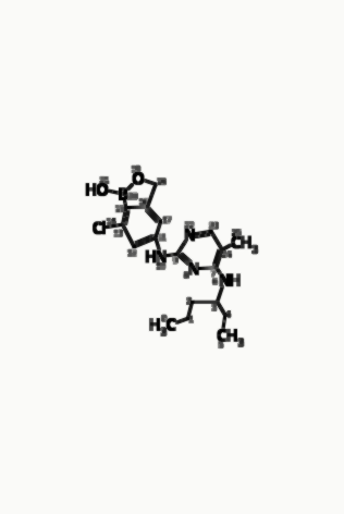 CCCC(CC)Nc1nc(Nc2cc(Cl)c3c(c2)COB3O)ncc1C